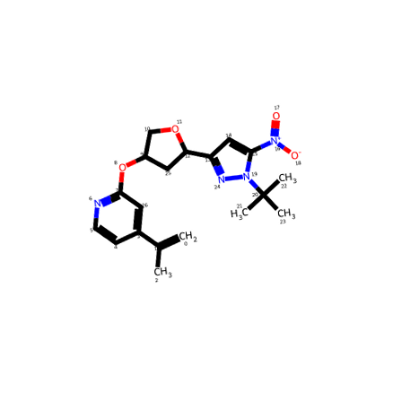 C=C(C)c1ccnc(OC2COC(c3cc([N+](=O)[O-])n(C(C)(C)C)n3)C2)c1